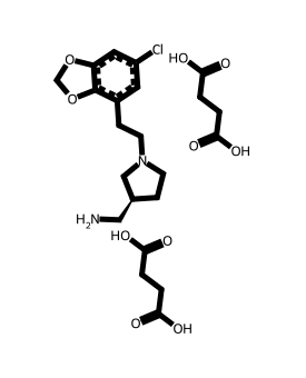 NC[C@@H]1CCN(CCc2cc(Cl)cc3c2OCO3)C1.O=C(O)CCC(=O)O.O=C(O)CCC(=O)O